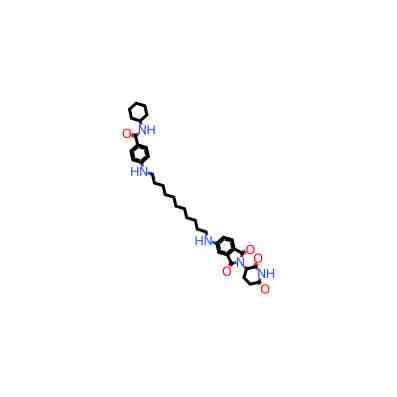 O=C1CCC(N2C(=O)c3ccc(NCCCCCCCCCCCNc4ccc(C(=O)NC5CCCCC5)cc4)cc3C2=O)C(=O)N1